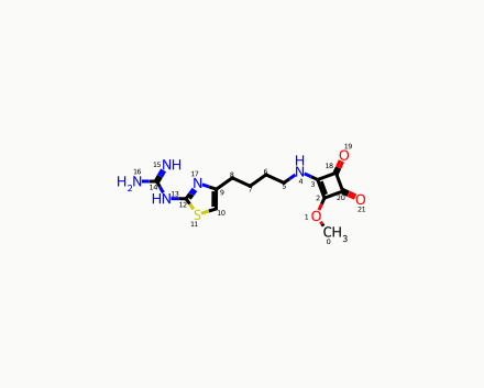 COc1c(NCCCCc2csc(NC(=N)N)n2)c(=O)c1=O